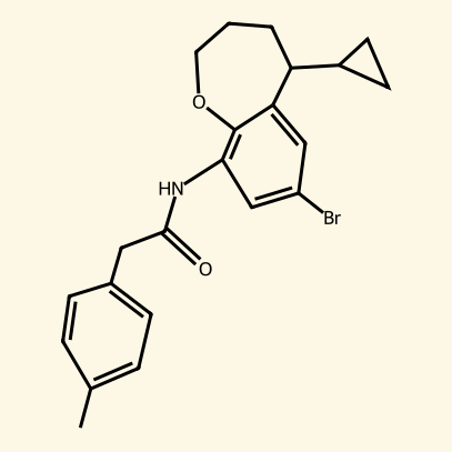 Cc1ccc(CC(=O)Nc2cc(Br)cc3c2OCCCC3C2CC2)cc1